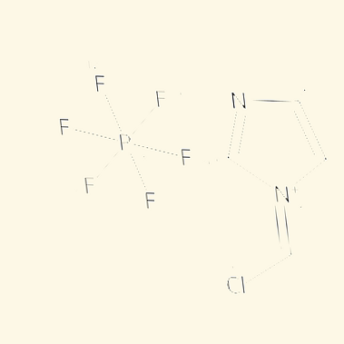 ClC=[N+]1C=CN=C1.F[P-](F)(F)(F)(F)F